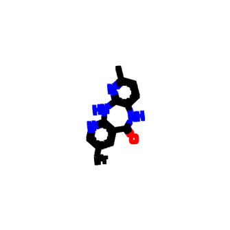 Cc1ccc2c(n1)Nc1ncc(C(C)C)cc1C(=O)N2